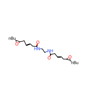 CCCCC1OC1C/C=C/CC(=O)NCCNC(=O)C/C=C/CC1OC1CCCC